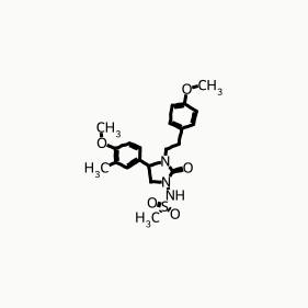 COc1ccc(CCN2C(=O)N(NS(C)(=O)=O)CC2c2ccc(OC)c(C)c2)cc1